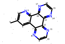 Cc1cnc2c(c1)c1nccnc1c1nccnc21